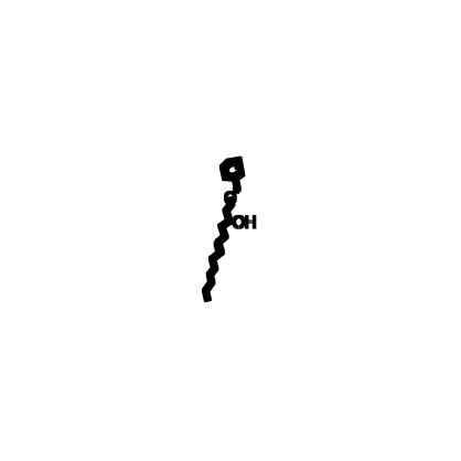 CCCCCCC=CCCC(O)CCOCc1ccccc1